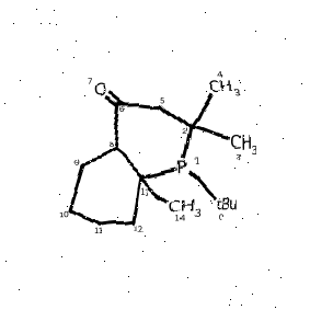 CC(C)(C)P1C(C)(C)CC(=O)C2CCCCC21C